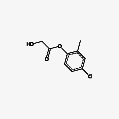 Cc1cc(Cl)ccc1OC(=O)CO